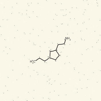 CCCN1CCC(CCN)C1